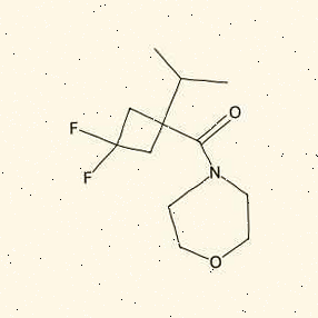 CC(C)C1(C(=O)N2CCOCC2)CC(F)(F)C1